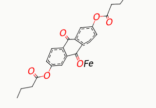 CCCC(=O)Oc1ccc2c(c1)C(=O)c1ccc(OC(=O)CCC)cc1C2=O.[Fe]